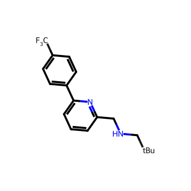 CC(C)(C)CNCc1cccc(-c2ccc(C(F)(F)F)cc2)n1